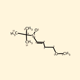 COCCC=C[S+]([O-])C(C)(C)C